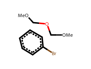 Brc1ccccc1.COCOCOC